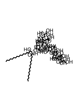 CCCCCCCCCCCCC/C=C/[C@@H](O)[C@H](CO[C@@H]1OC(CO)[C@@H](O[C@@H]2OC(CO)[C@H](O[C@@H]3OC(CO)[C@H](O)[C@H](O[C@@H]4OC(CO)[C@H](O)[C@H](O[C@]5(C(=O)O)CC(O)[C@@H](O)C([C@H](O)[C@H](O)CO)O5)C4O)C3NC(C)=O)[C@H](O[C@]3(C(=O)O)CC(O)[C@@H](NC(C)=O)C([C@H](O)[C@H](O)CO)O3)C2O)[C@H](O)C1O)NC(=O)CCCCCCCCCCCCCCC